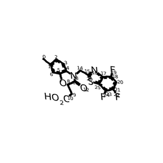 Cc1ccc2c(c1)OC(CC(=O)O)C(=O)N2Cc1nc2c(F)cc(F)c(F)c2s1